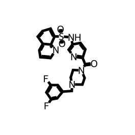 O=C(c1ccc(NS(=O)(=O)c2cccc3cccnc23)cn1)N1CCN(Cc2cc(F)cc(F)c2)CC1